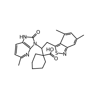 Cc1cc(C)c2c(CC(n3c(=O)[nH]c4ccc(C)nc43)C3(C(=O)O)CCCCC3)snc2c1